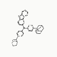 c1ccc2c(c1)sc1ccc(N(c3ccc(C4CC5CCC4C5)cc3)c3ccc(C45CC6CC(CC(C6)C4)C5)cc3)cc12